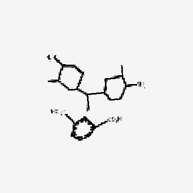 CCC(C1CCC(N)C(C)C1)C1CCC(N)C(C)C1.O=C(O)c1cccc(C(=O)O)c1